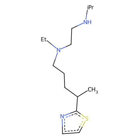 CCN(CCCC(C)c1nccs1)CCNC(C)C